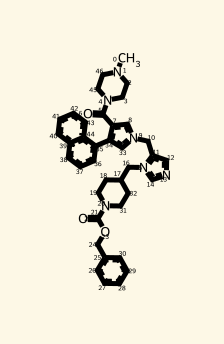 CN1CCN(C(=O)c2cn(Cc3cncn3CC3CCN(C(=O)OCc4ccccc4)CC3)cc2-c2cccc3ccccc23)CC1